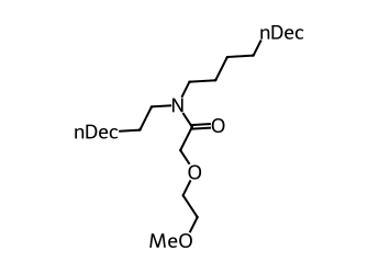 CCCCCCCCCCCCCCN(CCCCCCCCCCCC)C(=O)COCCOC